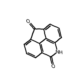 O=c1[nH]c2cccc3c(=O)c4cccc1c4c23